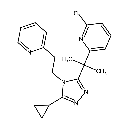 CC(C)(c1cccc(Cl)n1)c1nnc(C2CC2)n1CCc1ccccn1